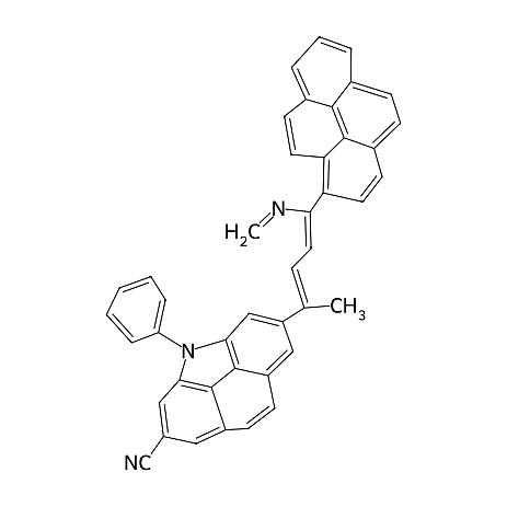 C=N/C(=C\C=C(/C)c1cc2ccc3cc(C#N)cc4c3c2c(c1)n4-c1ccccc1)c1ccc2ccc3cccc4ccc1c2c34